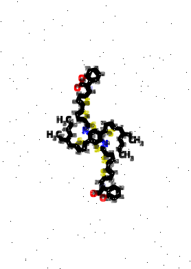 CCCCC(CC)CC1=CCC(c2c3nc(-c4ccc(-c5ccc(/C=C6/C(=O)Oc7ccccc76)s5)s4)sc3c(-c3ccc(CC(CC)CCCC)s3)c3nc(-c4ccc(-c5ccc(/C=C6\C(=O)Oc7ccccc76)s5)s4)sc23)S1